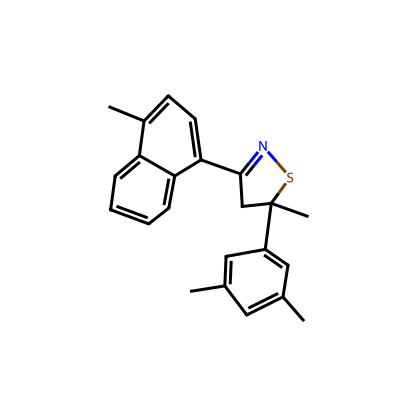 Cc1cc(C)cc(C2(C)CC(c3ccc(C)c4ccccc34)=NS2)c1